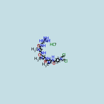 Cl.Cn1cc(NC(=O)c2cc(NC(=O)c3cc(NC(=O)c4ccc(N(CCCl)CCCl)cc4)cn3C)cn2C)cc1C(=O)NCCNC(=N)N